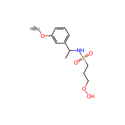 CCCCOc1cccc(C(C)NS(=O)(=O)CCCOO)c1